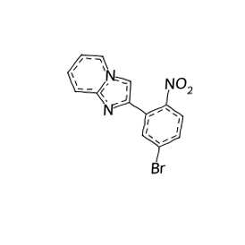 O=[N+]([O-])c1ccc(Br)cc1-c1cn2ccccc2n1